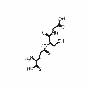 NC(CCC(=S)NC(CS)C(=O)NCC(=O)O)C(O)=S